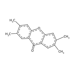 Cc1cc2oc3cc(C)c(C)cc3c(=O)c2cc1C